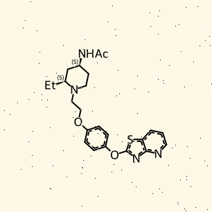 CC[C@H]1C[C@@H](NC(C)=O)CCN1CCOc1ccc(Oc2nc3ncccc3s2)cc1